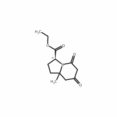 CCOC(=O)[C@@H]1CCC2(C)CC(=O)CC(=O)N12